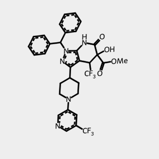 COC(=O)C1(O)C(=O)Nc2c(c(C3CCN(c4cncc(C(F)(F)F)c4)CC3)nn2C(c2ccccc2)c2ccccc2)C1C(F)(F)F